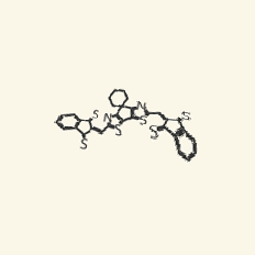 S=C1C(=Cc2nc3c(s2)-c2sc(C=C4C(=S)c5ccccc5C4=S)nc2C32CCCCC2)C(=S)c2ccccc21